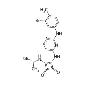 Cc1ccc(Nc2nccc(Nc3c(N[C@H](C)C(C)(C)C)c(=O)c3=O)n2)cc1Br